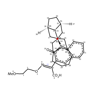 COCCO/N=C(\C(=O)O)c1nc2ccccc2n([C@H]2C[C@H]3CC[C@@H](C2)N3C2CC3CCCCC(C3)C2)c1=O